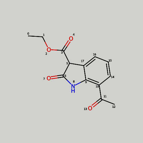 CCOC(=O)C1C(=O)Nc2c(C(C)=O)cccc21